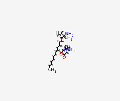 CCCCCCCCCCCCOC(=O)C(C)(C)N.C[N+](C)(C)CC(=O)[O-]